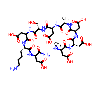 CNC(CC(=O)O)C(=O)N[C@@H](CC(=O)O)C(=O)NC(CC(=O)O)C(=O)N[C@@H](C)C(=O)NC(CC(=O)O)C(=O)N[C@@H](CO)C(=O)NC(CC(=O)O)C(=O)N[C@@H](CCCCN)C(=O)NC(CC(=O)O)C(N)=O